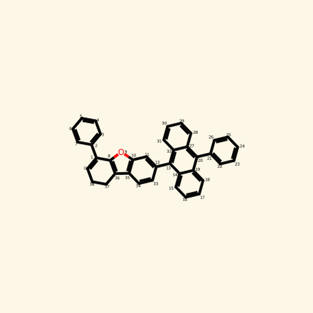 C1=C(c2ccccc2)c2oc3cc(-c4c5ccccc5c(-c5ccccc5)c5ccccc45)ccc3c2CC1